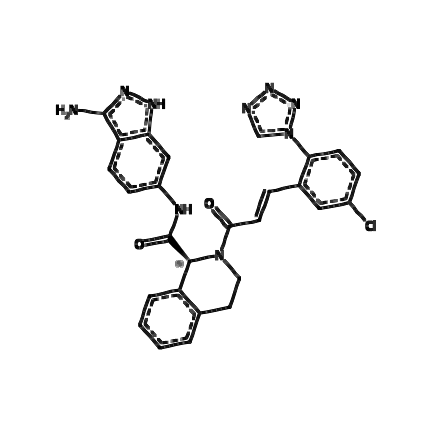 Nc1n[nH]c2cc(NC(=O)[C@@H]3c4ccccc4CCN3C(=O)C=Cc3cc(Cl)ccc3-n3cnnn3)ccc12